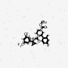 Cc1cc(F)ccc1C1CN(C(=O)OC(C)(C)C)CCN1C(=O)NC1(c2cc(C(F)(F)F)cc(C(F)(F)F)c2)CC1